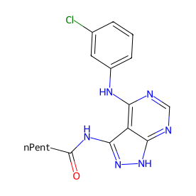 CCCCCC(=O)Nc1n[nH]c2ncnc(Nc3cccc(Cl)c3)c12